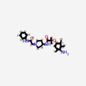 Cc1cc(OC(C)(C)C(=O)NC2CCN(CC(=O)Nc3ccccc3)CC2)c(C)c(C)c1N